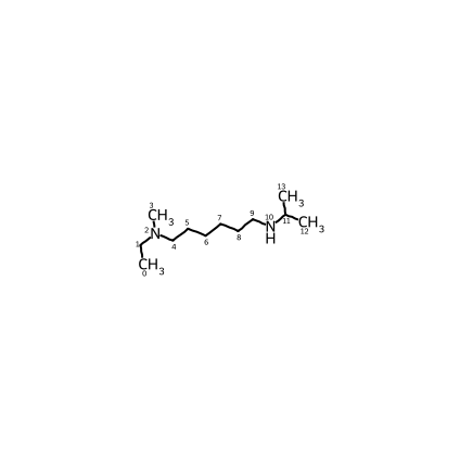 CCN(C)CCCCCCNC(C)C